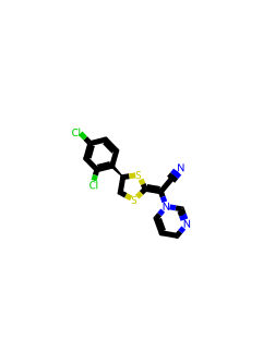 N#C/C(=C1/SC[C@@H](c2ccc(Cl)cc2Cl)S1)N1C=CCN=C1